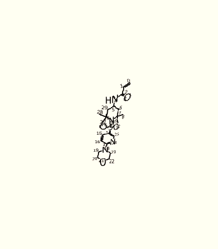 C=CC(=O)NC1CC(C)(C)N(S(=O)(=O)c2ccc(N3CCOCC3)nc2)C(C)(C)C1